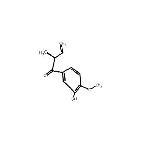 C=CC(C)C(=O)c1ccc(OC)c(O)c1